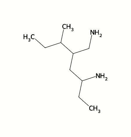 CCC(N)CC(CN)C(C)CC